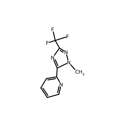 Cn1nc(C(F)(F)F)nc1-c1ccccn1